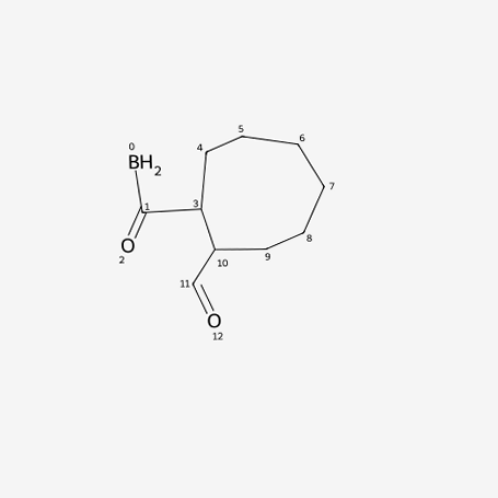 BC(=O)C1CCCCCCC1C=O